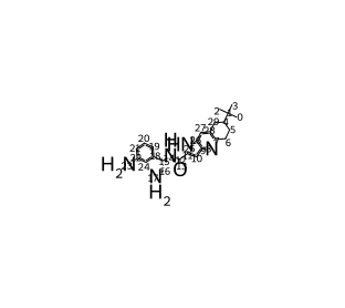 CC(C)(C)C1CCc2nc3cc(C(=O)N[C@H](CN)c4cccc(N)c4)[nH]c3cc2C1